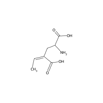 C/C=C(/CC(N)C(=O)O)C(=O)O